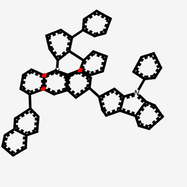 c1ccc(-c2ccccc2-c2c(-c3ccccc3)cccc2N(c2ccc(-c3ccc4c5ccccc5n(-c5ccccc5)c4c3)cc2)c2cccc(-c3ccc4ccccc4c3)c2)cc1